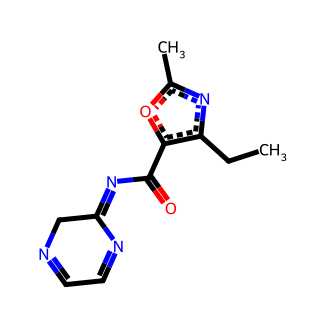 CCc1nc(C)oc1C(=O)N=C1CN=CC=N1